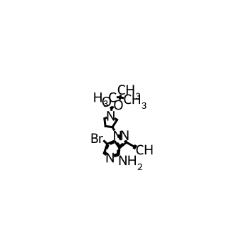 C#Cc1nn(C2CCN(C(=O)OC(C)(C)C)C2)c2c(Br)cnc(N)c12